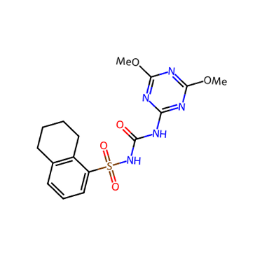 COc1nc(NC(=O)NS(=O)(=O)c2cccc3c2CCCC3)nc(OC)n1